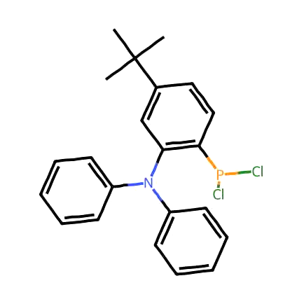 CC(C)(C)c1ccc(P(Cl)Cl)c(N(c2ccccc2)c2ccccc2)c1